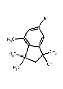 Cc1cc(Br)cc2c1C(C)(C)CC2(C)C